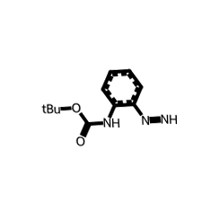 CC(C)(C)OC(=O)Nc1ccccc1N=N